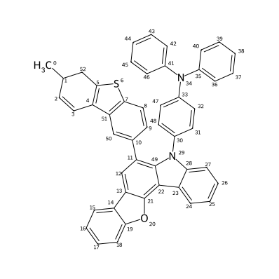 CC1C=Cc2c(sc3ccc(-c4cc5c6ccccc6oc5c5c6ccccc6n(-c6ccc(N(c7ccccc7)c7ccccc7)cc6)c45)cc23)C1